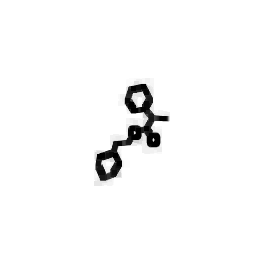 CC(C(=O)OCCc1ccccc1)c1ccccc1